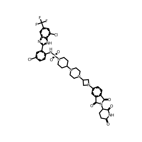 O=C1CCC(N2C(=O)c3ccc(N4CC(N5CCN(C6CCN(S(=O)(=O)Nc7ccc(Cl)cc7-c7nc8cc(C(F)(F)F)cc(Cl)c8[nH]7)CC6)CC5)C4)cc3C2=O)C(=O)N1